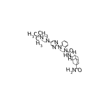 CC(C)(C)N1CCN(c2cnc(N3CCN(C(=O)NC4[C@@H]5CC6C[C@H]4CC(C(N)=O)(C6)C5)c4ccccc43)nc2)CC1